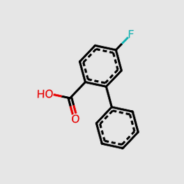 O=C(O)c1ccc(F)cc1-c1ccccc1